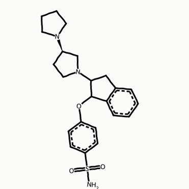 NS(=O)(=O)c1ccc(OC2c3ccccc3CC2N2CC[C@@H](N3CCCC3)C2)cc1